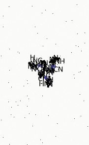 Cc1nn2nc(C)c(/N=N/c3c(C#N)cnn3-c3nc(-n4ncc(C#N)c4/N=N/c4c(C)nn5nc(C)[nH]c45)nc(-n4ncc(C#N)c4/N=N/c4c(C)nn5nc(C)[nH]c45)n3)c2[nH]1